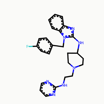 Fc1ccc(Cn2c(NC3CCN(CCNc4ncccn4)CC3)nc3ccccc32)cc1